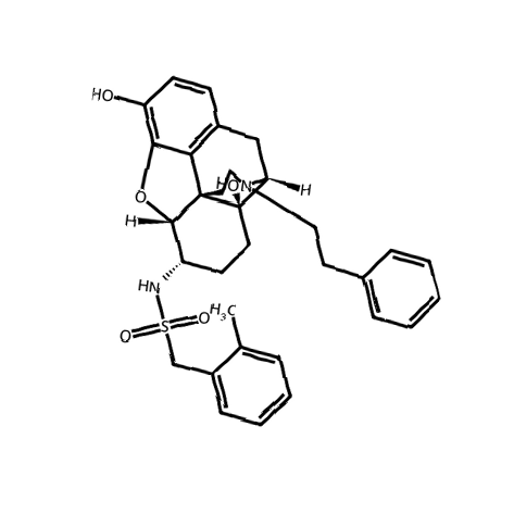 Cc1ccccc1CS(=O)(=O)N[C@H]1CC[C@@]2(O)[C@H]3Cc4ccc(O)c5c4[C@@]2(CCN3CCc2ccccc2)[C@H]1O5